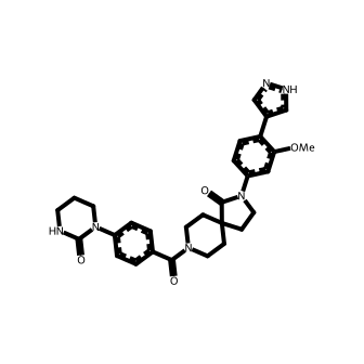 COc1cc(N2CCC3(CCN(C(=O)c4ccc(N5CCCNC5=O)cc4)CC3)C2=O)ccc1-c1cn[nH]c1